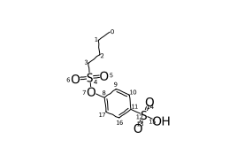 CCCCS(=O)(=O)Oc1ccc(S(=O)(=O)O)cc1